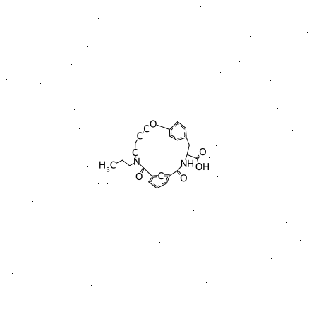 CCCN1CCCCOc2ccc(cc2)CC(C(=O)O)NC(=O)c2cccc(c2)C1=O